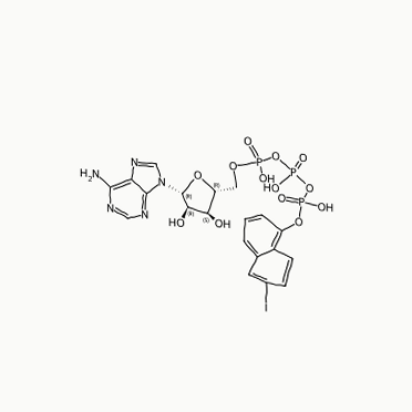 Nc1ncnc2c1ncn2[C@@H]1O[C@H](COP(=O)(O)OP(=O)(O)OP(=O)(O)Oc2cccc3cc(I)ccc23)[C@@H](O)[C@H]1O